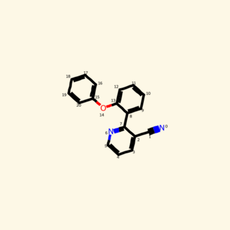 N#Cc1cccnc1-c1ccccc1Oc1ccccc1